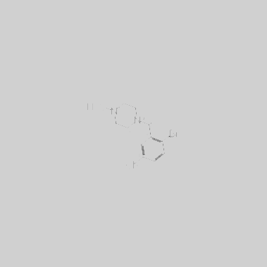 CN1CCN(Cc2cc(Cl)ccc2Br)CC1